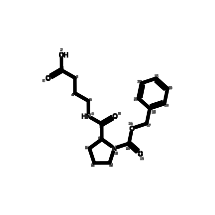 O=C(O)CCCNC(=O)C1CCCN1C(=O)OCc1ccccc1